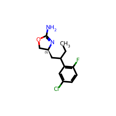 CCC(C[C@H]1COC(N)=N1)c1cc(Cl)ccc1F